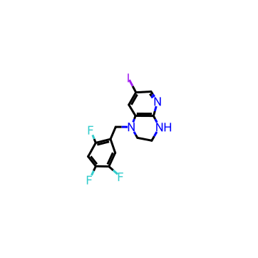 Fc1cc(F)c(CN2CCNc3ncc(I)cc32)cc1F